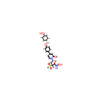 C[C@@](CCn1ccc(-c2ccc(OC[C@H]3CC[C@@H](O)CC3)cc2)cc1=O)(C(=O)NO)S(C)(=O)=O